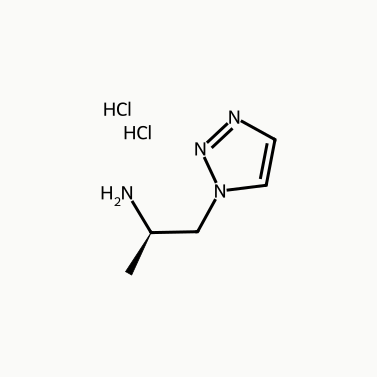 C[C@@H](N)Cn1ccnn1.Cl.Cl